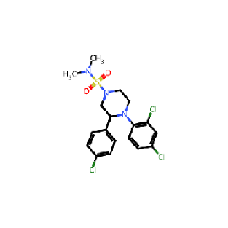 CN(C)S(=O)(=O)N1CCN(c2ccc(Cl)cc2Cl)C(c2ccc(Cl)cc2)C1